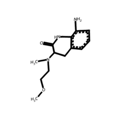 COCCN(C)C1Cc2cccc(N)c2NC1=O